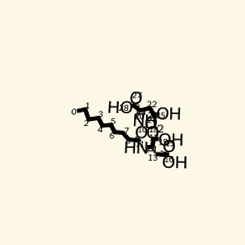 CCCCCCCCCC(=O)N[C@@H](CC(=O)O)C(=O)O.N[C@@H](CC(=O)O)C(=O)O